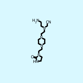 N#CCN(CCN)CCN1CCN(CCN2CCNC2=O)CC1